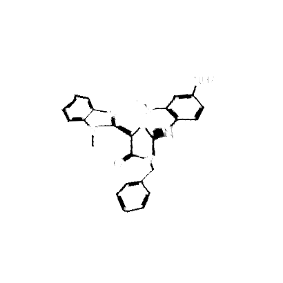 CCNc1cc(NC(C)=O)ccc1/N=C1\S/C(=C2\Sc3ccccc3N2C)C(=O)N1Cc1ccccc1